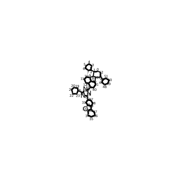 C1=C(c2ccccc2)C2c3cccc4c(-c5nc(-c6ccccc6)nc(-c6ccc7c(c6)oc6ccccc67)n5)ccc(c34)C2C(c2ccccc2)=C1